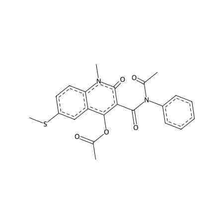 CSc1ccc2c(c1)c(OC(C)=O)c(C(=O)N(C(C)=O)c1ccccc1)c(=O)n2C